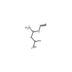 C=COC(N)CC(C)CCC